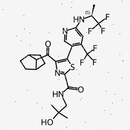 C[C@H](Nc1cc(C(F)(F)F)c(-c2sc(C(=O)NCC(C)(C)O)nc2C(=O)C2C3CCC2CC3)cn1)C(F)(F)F